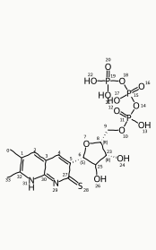 Cc1cc2cc([C@@H]3O[C@H](COP(=O)(O)OP(=O)(O)OP(=O)(O)O)[C@H](O)C3O)c(=S)nc-2[nH]c1C